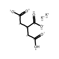 O=C([O-])CC(CC(=O)O)C(=O)[O-].[K+].[K+]